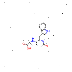 C=C(NC(C)(C)C(=O)O)[C@@H](Cc1c[nH]c2ccccc12)N(C)C(C)=O